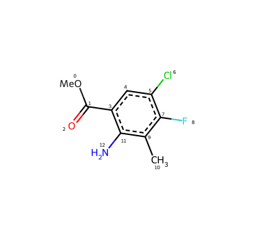 COC(=O)c1cc(Cl)c(F)c(C)c1N